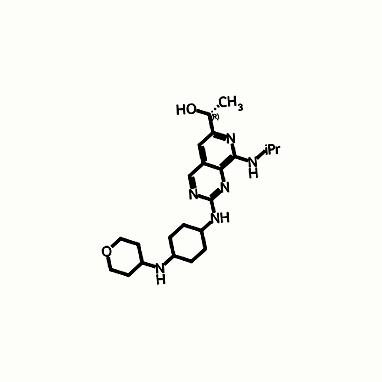 CC(C)Nc1nc([C@@H](C)O)cc2cnc(NC3CCC(NC4CCOCC4)CC3)nc12